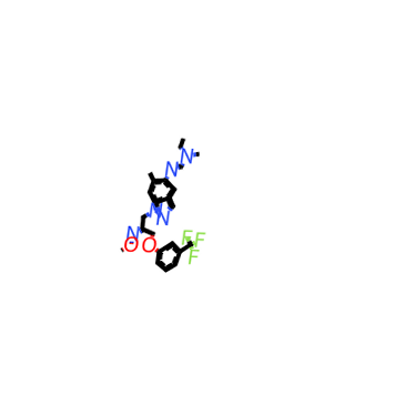 CCN(C)/C=N/c1cc2cnn(C/C(COc3cccc(C(F)(F)F)c3)=N/OC)c2cc1C